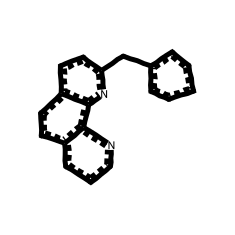 c1ccc(Cc2ccc3ccc4cccnc4c3n2)cc1